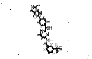 Cc1ncc2oc(-c3ccc(Nc4nccc(NCc5cccc(C(F)(F)F)c5)n4)cc3)nn12